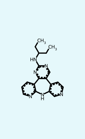 CCC(CC)Nc1ncc2c(n1)-c1cccnc1Nc1cnccc1-2